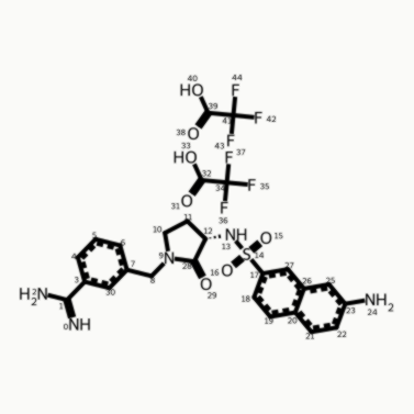 N=C(N)c1cccc(CN2CC[C@H](NS(=O)(=O)c3ccc4ccc(N)cc4c3)C2=O)c1.O=C(O)C(F)(F)F.O=C(O)C(F)(F)F